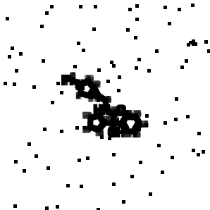 CC(C)N1CC2C(CNC(=O)[C@@](O)(c3ccccc3)C3CCCC3)C2C1